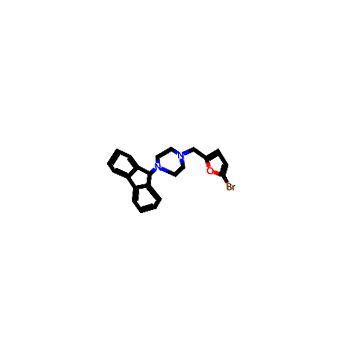 Brc1ccc(CN2CCN(C3c4ccccc4-c4ccccc43)CC2)o1